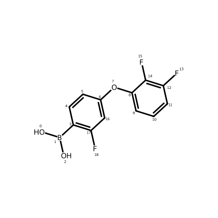 OB(O)c1ccc(Oc2cccc(F)c2F)cc1F